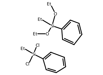 CCO[Si](CC)(OCC)c1ccccc1.CC[Si](Cl)(Cl)c1ccccc1